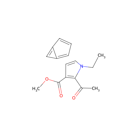 CCn1ccc(C(=O)OC)c1C(C)=O.c1cc2cc-2c1